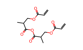 C=CC(=O)OCC(C)C(=O)OC(=O)C(C)COC(=O)C=C